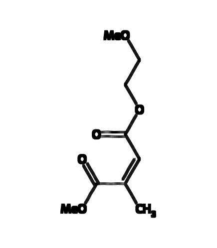 COCCOC(=O)C=C(C)C(=O)OC